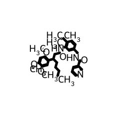 CCCCCC(CC(=O)Nc1cc(CNC(=O)c2cccnc2)ccc1C(C)(C)C)c1cc(OC)c(OC)cc1OC